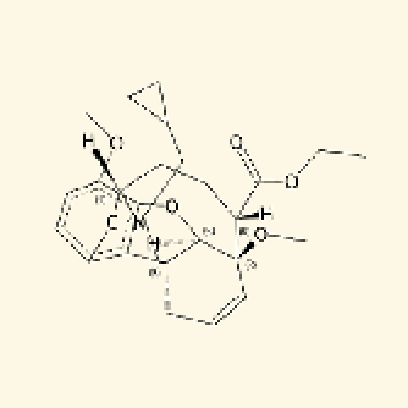 CCOC(=O)[C@H]1CC[C@H]2Cc3ccc(OC)c4c3[C@@]3(CC=C[C@]1(OC)[C@@H]3O4)CCN2CC1CC1